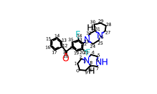 C1CCN2CCNC[C@H]2C1.O=C(c1ccccc1)c1cc(F)c(N2CCN3CCCC[C@@H]3C2)c(F)c1